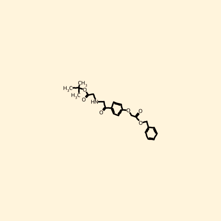 CC(C)(C)OC(=O)CNCC(=O)c1ccc(OCC(=O)OCc2ccccc2)cc1